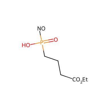 CCOC(=O)CCCP(=O)(O)N=O